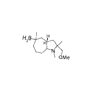 BC1(C)CCCC2[C@H](C1)CC(C)(COC)N2C